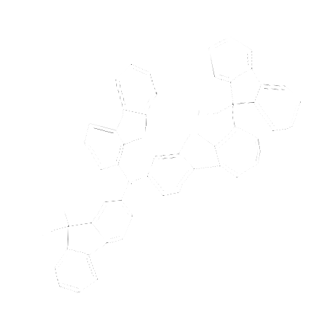 CC1(C)c2ccccc2-c2ccc(N(c3ccc4c(c3)oc3c(C5(C)c6ccccc6-c6ccccc65)cccc34)c3cccc4c3sc3ccccc34)cc21